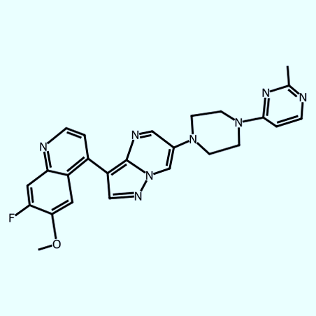 COc1cc2c(-c3cnn4cc(N5CCN(c6ccnc(C)n6)CC5)cnc34)ccnc2cc1F